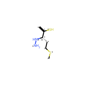 C=C(S)[C@H](CCSC)NN